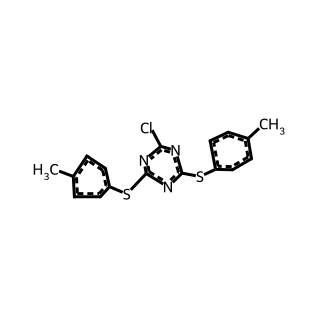 Cc1ccc(Sc2nc(Cl)nc(Sc3ccc(C)cc3)n2)cc1